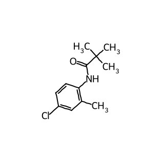 Cc1cc(Cl)ccc1NC(=O)C(C)(C)C